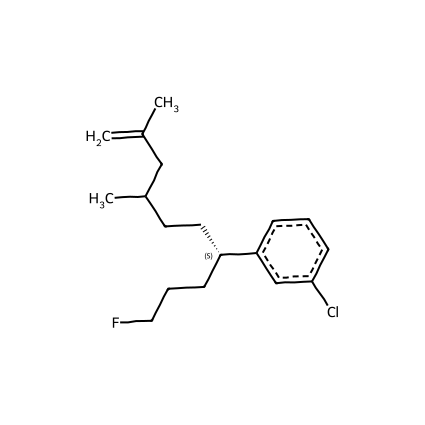 C=C(C)CC(C)CC[C@@H](CCCF)c1cccc(Cl)c1